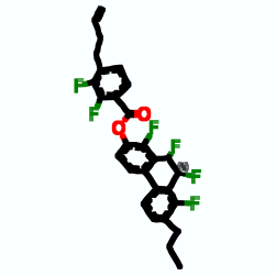 C=CCCc1ccc(C(=O)Oc2ccc3c(c2F)C(F)[C@@H](F)c2c-3ccc(CCC)c2F)c(F)c1F